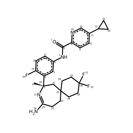 C[C@@]1(c2cc(NC(=O)c3ccc(C4CC4)cn3)ccc2F)CC2(CCC(N)=N1)CCC(F)(F)CC2